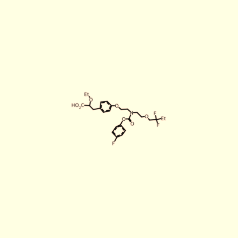 CCOC(Cc1ccc(OCCN(CCOCC(F)(F)CC)C(=O)Oc2ccc(F)cc2)cc1)C(=O)O